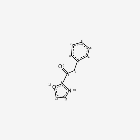 O=C(Cc1ccccc1)c1ncco1